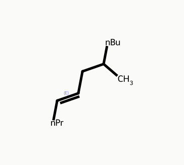 CCC/C=C/CC(C)CCCC